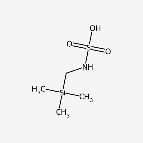 C[Si](C)(C)CNS(=O)(=O)O